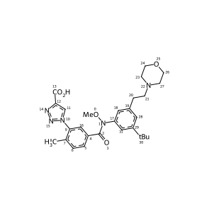 CON(C(=O)c1ccc(C)c(-n2cc(C(=O)O)nn2)c1)c1cc(CCN2CCOCC2)cc(C(C)(C)C)c1